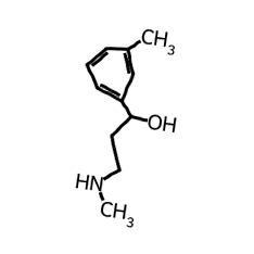 CNCCC(O)c1cccc(C)c1